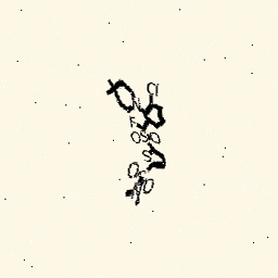 CN(C)S(=O)(=O)c1ccc(S(=O)(=O)C(F)c2cccc(Cl)c2N2CCC(C)(C)CC2)s1